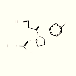 C=CCC(=O)N1[C@@H](/C=C(\C)C(=O)O)CC[C@H]1c1ccc(Cl)cc1